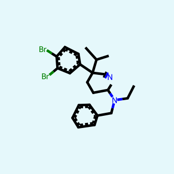 CCN(Cc1ccccc1)C(C)CCC(C#N)(c1ccc(Br)c(Br)c1)C(C)C